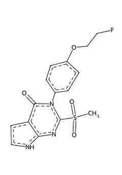 CS(=O)(=O)c1nc2[nH]ccc2c(=O)n1-c1ccc(OCCF)cc1